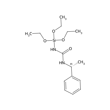 CCO[Si](NC(=O)N[C@H](C)c1ccccc1)(OCC)OCC